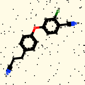 N#CCCc1ccc(Oc2ccc(C#N)c(Cl)c2)cc1